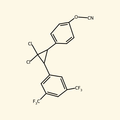 N#COc1ccc(C2C(c3cc(C(F)(F)F)cc(C(F)(F)F)c3)C2(Cl)Cl)cc1